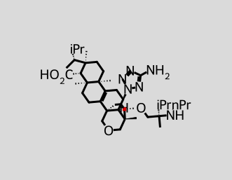 CCCN[C@@](C)(CO[C@H]1[C@H](n2nnc(N)n2)C[C@@]23COC[C@]1(C)[C@@H]2CCC1=C3CC[C@@]2(C)[C@H](C(=O)O)[C@@](C)([C@H](C)C(C)C)CC[C@@]12C)C(C)C